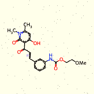 COCCOC(=O)Nc1cccc(/C=C/C(=O)c2c(O)cc(C)n(C)c2=O)c1